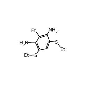 CCSc1cc(SCC)c(N)c(CC)c1N